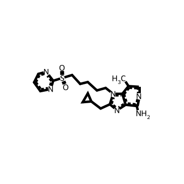 Cc1cnc(N)c2nc(CC3CC3)n(CCCCCS(=O)(=O)c3ncccn3)c12